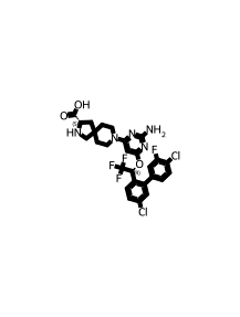 Nc1nc(O[C@H](c2ccc(Cl)cc2-c2ccc(Cl)c(F)c2)C(F)(F)F)cc(N2CCC3(CC2)CN[C@H](C(=O)O)C3)n1